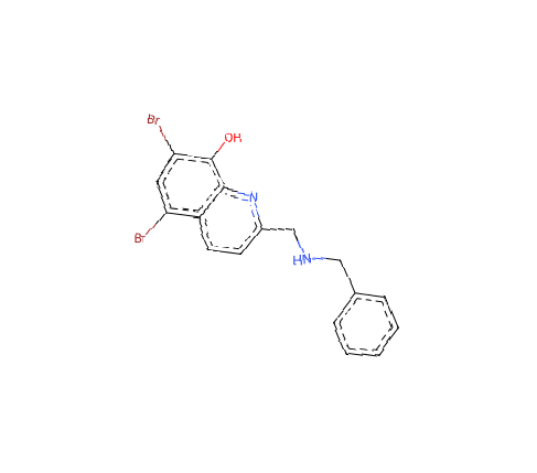 Oc1c(Br)cc(Br)c2ccc(CNCc3ccccc3)nc12